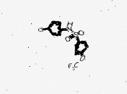 O=S(=O)(Nc1ccc(Cl)cc1)c1ccc(OC(F)(F)F)cc1